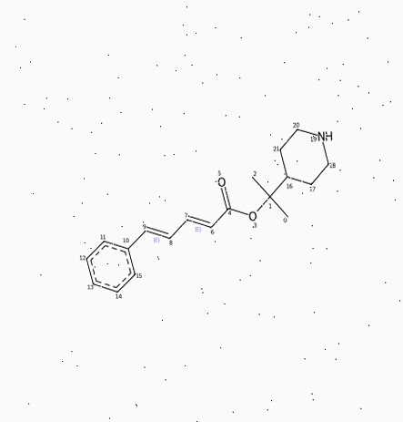 CC(C)(OC(=O)/C=C/C=C/c1ccccc1)C1CCNCC1